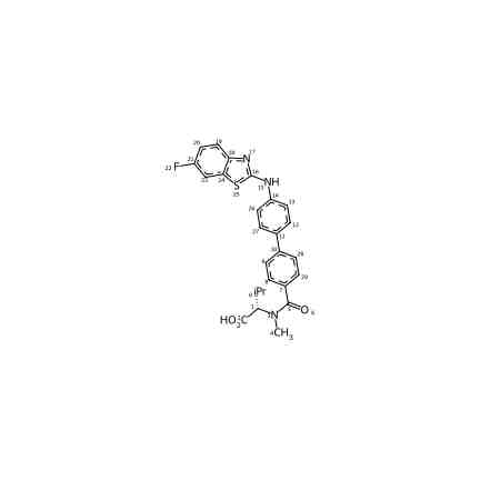 CC(C)[C@@H](C(=O)O)N(C)C(=O)c1ccc(-c2ccc(Nc3nc4ccc(F)cc4s3)cc2)cc1